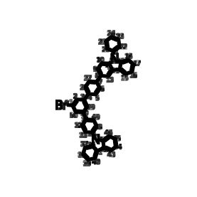 Brc1cc(-c2ccc(-c3ccc4c(c3)c3ccccc3n4-c3ccccc3)cc2)cc(-c2ccc(-n3c4ccccc4c4ccccc43)cc2)c1